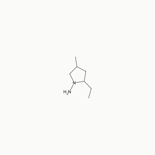 CCC1CC(C)CN1N